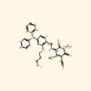 CCCCOc1cc(N(c2ccccc2)c2ccccc2)ccc1N/N=C1\C(=O)N(C)C(=O)C(C#N)=C1C